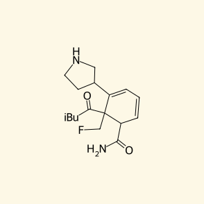 CCC(C)C(=O)C1(CF)C(C2CCNC2)=CC=CC1C(N)=O